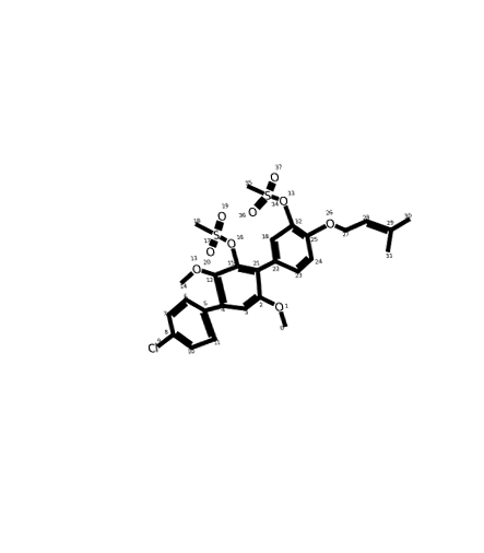 COc1cc(-c2ccc(Cl)cc2)c(OC)c(OS(C)(=O)=O)c1-c1ccc(OCC=C(C)C)c(OS(C)(=O)=O)c1